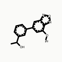 CC(C)Oc1cc(-c2cccc(C(C)O)c2)cc2nonc12